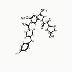 COc1cc2c(cc1C(=O)N1CCC(Cc3ccc(F)cc3)CC1)C(C(=O)C(=O)N1CC[C@@H](O)C1)CN2N